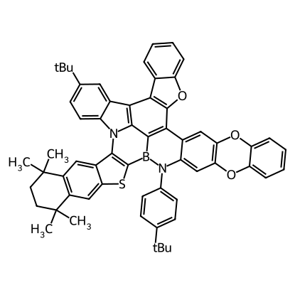 CC(C)(C)c1ccc(N2B3c4sc5cc6c(cc5c4-n4c5ccc(C(C)(C)C)cc5c5c7c(oc8ccccc87)c(c3c54)-c3cc4c(cc32)Oc2ccccc2O4)C(C)(C)CCC6(C)C)cc1